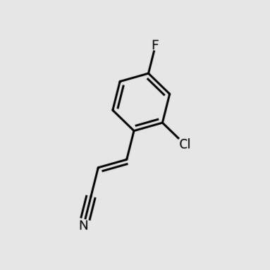 N#C/C=C/c1ccc(F)cc1Cl